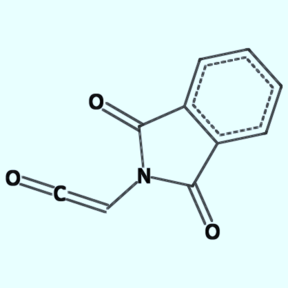 O=C=CN1C(=O)c2ccccc2C1=O